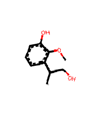 [CH2]C(CO)c1cccc(O)c1OC